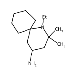 CCN1C(C)(C)CC(N)CC12CCCCC2